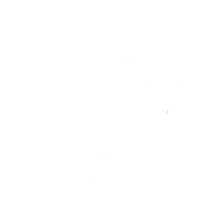 Cc1cnc(N[C@H]2CC[C@@H](NC(=O)c3ccccc3Br)CC2)nc1N(C)C